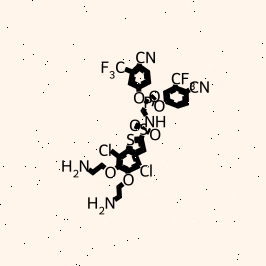 N#Cc1ccc(OP(=O)(CNS(=O)(=O)c2cc3c(Cl)c(OCCN)c(OCCN)c(Cl)c3s2)Oc2ccc(C#N)c(C(F)(F)F)c2)cc1C(F)(F)F